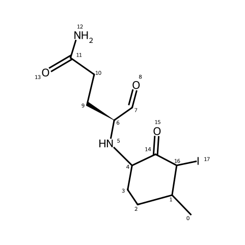 CC1CCC(N[C@H](C=O)CCC(N)=O)C(=O)C1I